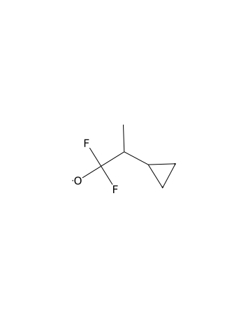 CC(C1CC1)C([O])(F)F